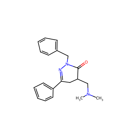 CN(C)CC1CC(c2ccccc2)=NN(Cc2ccccc2)C1=O